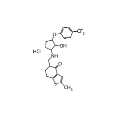 Cc1cc2c(s1)CCC(CNC1CCC(Oc3ccc(C(F)(F)F)cc3)C1O)C2=O.Cl